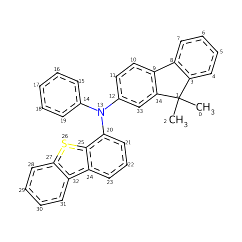 CC1(C)c2ccccc2-c2ccc(N(c3ccccc3)c3cccc4c3sc3ccccc34)cc21